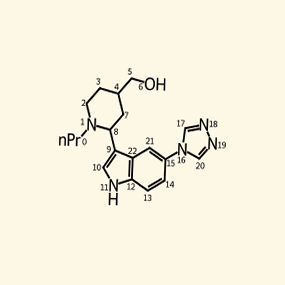 CCCN1CCC(CO)CC1c1c[nH]c2ccc(-n3cnnc3)cc12